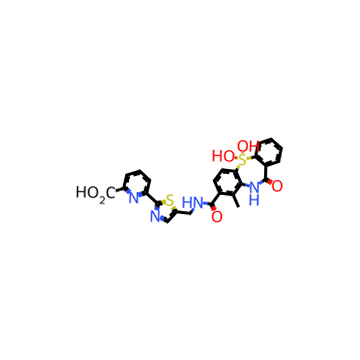 Cc1c(C(=O)NCc2cnc(-c3cccc(C(=O)O)n3)s2)ccc2c1NC(=O)c1ccccc1S2(O)O